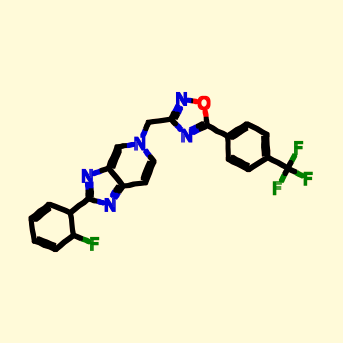 FC1C=CC=CC1c1nc2ccn(Cc3noc(-c4ccc(C(F)(F)F)cc4)n3)cc-2n1